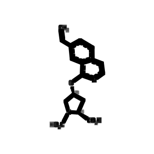 C=Cc1ccc2ccnc(O[C@@H]3C[C@@H](C(=O)O)N(C(=O)O)C3)c2c1